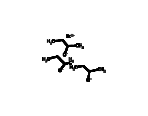 CCC(C)[O-].CCC(C)[O-].CCC(C)[O-].[Sc+3]